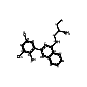 CCC(N)CNc1nc(-c2cc(Cl)cc(Cl)c2O)nc2ccccc12